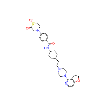 O=C(N[C@H]1CC[C@H](CCN2CCN(c3nccc4c3CCO4)CC2)CC1)c1ccc(N2CC[S+]([O-])C(=O)C2)cc1